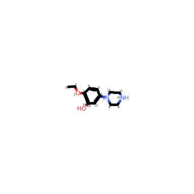 CCOc1ccc(N2CCNCC2)cc1O